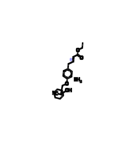 B.CCOC(=O)/C=C/Cc1ccc(OCC2(O)CN3CCC2CC3)cc1